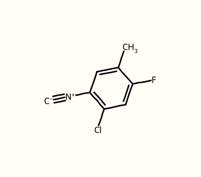 [C-]#[N+]c1cc(C)c(F)cc1Cl